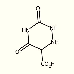 O=C1NNC(C(=O)O)C(=O)N1